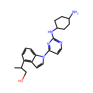 CC(CO)c1cccc2c1ccn2-c1ccnc(NC2CCC(N)CC2)n1